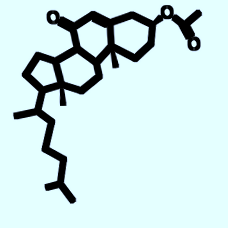 CC(=O)O[C@H]1CC[C@@]2(C)C(=CC(=O)C3C4CCC(C(C)CCCC(C)C)[C@@]4(C)CCC32)C1